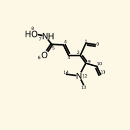 C=CC(/C=C/C(=O)NO)=C(\C=C)N(C)C